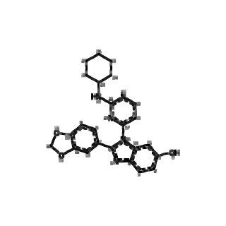 Oc1ccc2nc(-c3ccc4c(c3)OCO4)n(-c3ccnc(NC4CCCCC4)n3)c2c1